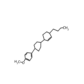 CCCCC1C=CC(C2CCC(c3ccc(OC)cc3)CC2)CC1